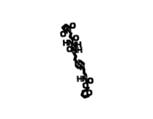 O=C(CCN1C(=O)C=CC1=O)NNC(=O)NCCCN1CCN(CCCNC(=O)OCC2CCC=CO2)CC1